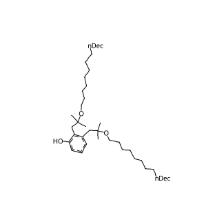 CCCCCCCCCCCCCCCCCCOC(C)(C)Cc1cccc(O)c1CC(C)(C)OCCCCCCCCCCCCCCCCCC